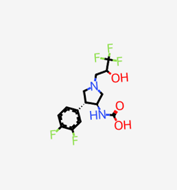 O=C(O)N[C@@H]1CN(CC(O)C(F)(F)F)C[C@H]1c1ccc(F)c(F)c1